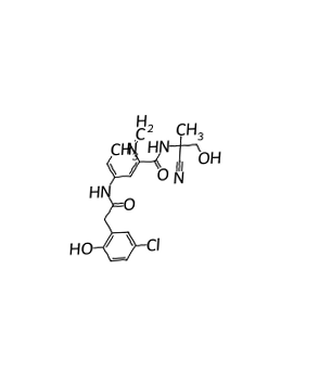 C=N/C(=C\C(=C/C)NC(=O)Cc1cc(Cl)ccc1O)C(=O)NC(C)(C#N)CO